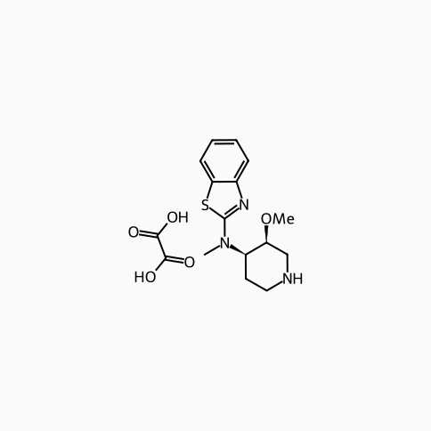 CO[C@H]1CNCC[C@H]1N(C)c1nc2ccccc2s1.O=C(O)C(=O)O